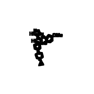 COc1ccc(OC)c(-c2nc(Nc3ccc(N4CCN(C5CC5)CC4)cc3)c3[nH]ncc3n2)c1